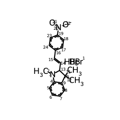 Br.Br.CN1c2ccccc2C(C)(C)C1C=Cc1ccc([N+](=O)[O-])cc1